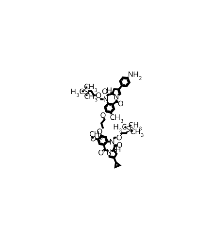 COc1cc2c(cc1OCCCOc1cc3c(cc1C)C(=O)N1C=C(c4ccc(N)cc4)C[C@H]1C(=O)N3COCC[Si](C)(C)C)N(COCC[Si](C)(C)C)C(=O)[C@@H]1CC(C3CC3)=CN1C2=O